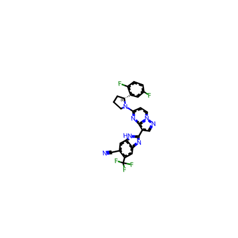 N#Cc1cc2[nH]c(-c3cnn4ccc(N5CCC[C@@H]5c5cc(F)ccc5F)nc34)nc2cc1C(F)(F)F